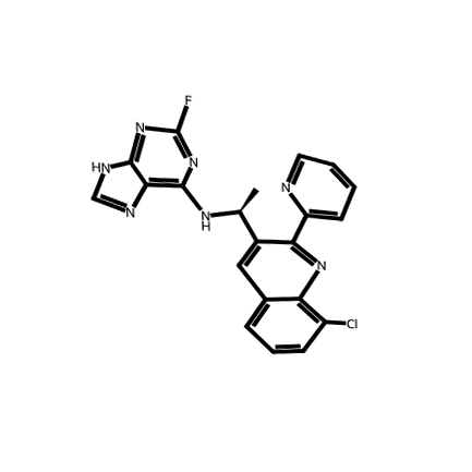 C[C@H](Nc1nc(F)nc2[nH]cnc12)c1cc2cccc(Cl)c2nc1-c1ccccn1